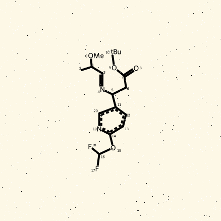 COC(C)C=NC(CC(=O)OC(C)(C)C)c1ccc(OC(F)F)nc1